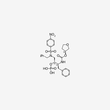 CC(C)CN(C[C@H](OP(=O)(O)O)[C@H](Cc1ccccc1)NC(=O)O[C@H]1CCOC1)S(=O)(=O)c1ccc([N+](=O)[O-])cc1